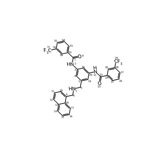 O=C(Nc1cc(CNCc2cccc3ccccc23)cc(NC(=O)c2cccc(C(F)(F)F)c2)c1)c1cccc(C(F)(F)F)c1